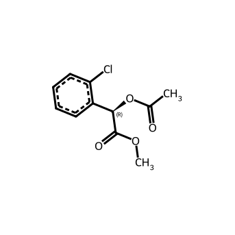 COC(=O)[C@H](OC(C)=O)c1ccccc1Cl